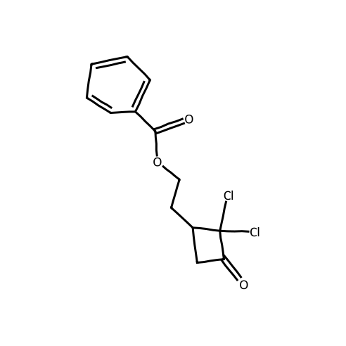 O=C(OCCC1CC(=O)C1(Cl)Cl)c1ccccc1